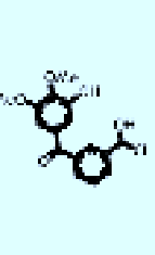 [CH2]C(O)c1cccc(C(=O)c2cc(O)c(OC)c(OC)c2)c1